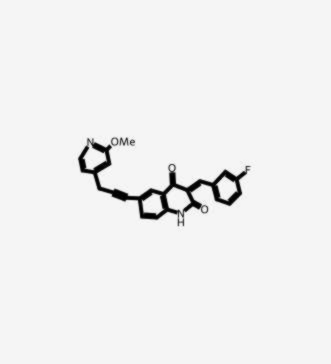 COc1cc(CC#Cc2ccc3c(c2)C(=O)/C(=C/c2cccc(F)c2)C(=O)N3)ccn1